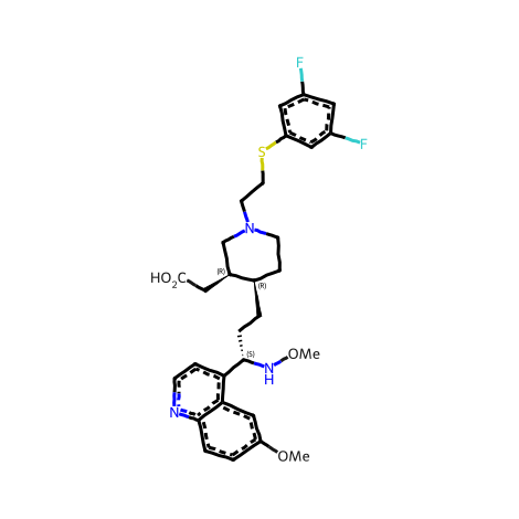 CON[C@@H](CC[C@@H]1CCN(CCSc2cc(F)cc(F)c2)C[C@@H]1CC(=O)O)c1ccnc2ccc(OC)cc12